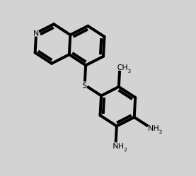 Cc1cc(N)c(N)cc1Sc1cccc2cnccc12